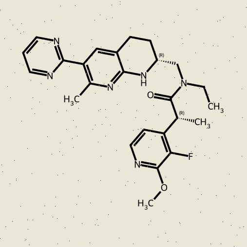 CCN(C[C@H]1CCc2cc(-c3ncccn3)c(C)nc2N1)C(=O)[C@H](C)c1ccnc(OC)c1F